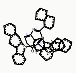 CC1C/C=C(c2cc3c(cc2-n2c4ccccc4c4cc5ccccc5cc42)oc2ccccc23)/N=C(c2cccc3ccccc23)\N=C/1c1cccc2c1sc1ccccc12